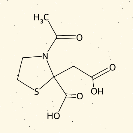 CC(=O)N1CCSC1(CC(=O)O)C(=O)O